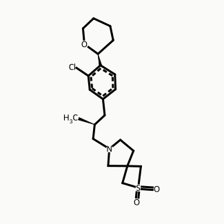 C[C@@H](Cc1ccc([C@@H]2CCCCO2)c(Cl)c1)CN1CCC2(C1)CS(=O)(=O)C2